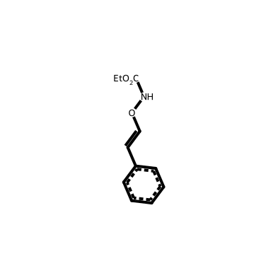 CCOC(=O)NOC=Cc1ccccc1